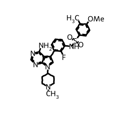 COc1ccc(S(=O)(=O)Nc2cccc(-c3cn(C4CCN(C)CC4)c4ncnc(N)c34)c2F)cc1C